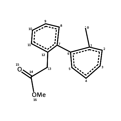 [CH2]c1ccccc1-c1ccccc1CC(=O)OC